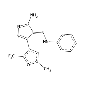 Cc1cc(C2=NN=C(N)/C2=N/Nc2ccccc2)c(C(F)(F)F)o1